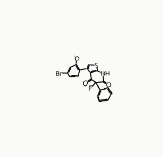 COc1cc(Br)ccc1-c1csc2c1C(=O)C(F)(c1ccccc1)C(=O)N2